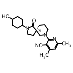 Cc1cc(C)c(C#N)c(N2CCC[C@@]3(CCN(C4CCC(O)CC4)C3=O)C2)n1